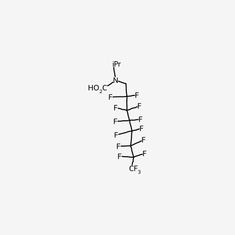 CC(C)N(CC(F)(F)C(F)(F)C(F)(F)C(F)(F)C(F)(F)C(F)(F)C(F)(F)F)C(=O)O